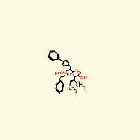 CCC(C)C(NC(=O)[C@H](Cc1ccc(-c2ccccc2)cc1)CP(=O)(O)CCc1ccccc1)C(=O)O